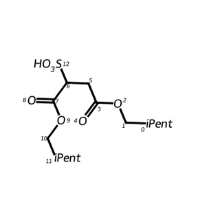 CCCC(C)COC(=O)CC(C(=O)OCC(C)CCC)S(=O)(=O)O